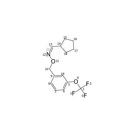 FC(F)(F)Oc1cccc(CO/N=[C]\C2CCCC2)c1